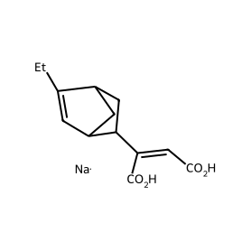 CCC1=CC2CC1CC2C(=CC(=O)O)C(=O)O.[Na]